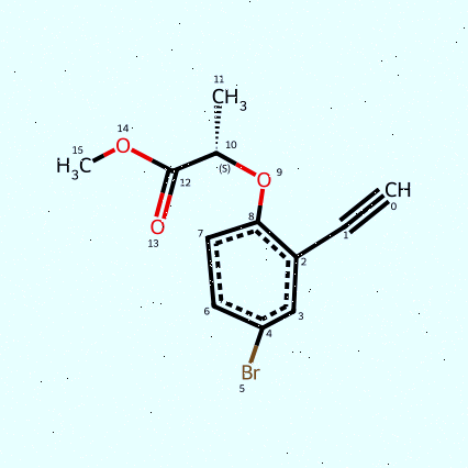 C#Cc1cc(Br)ccc1O[C@@H](C)C(=O)OC